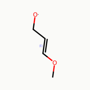 CO/C=C/C[O]